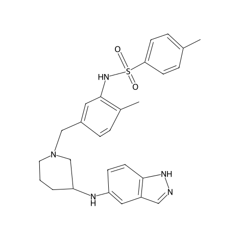 Cc1ccc(S(=O)(=O)Nc2cc(CN3CCCC(Nc4ccc5[nH]ncc5c4)C3)ccc2C)cc1